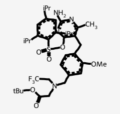 COc1cc(CN(CC(=O)OC(C)(C)C)CC(F)(F)F)ccc1Cc1c(C)nc(N)nc1OS(=O)(=O)c1c(C(C)C)cc(C(C)C)cc1C(C)C